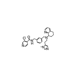 Cn1cncc1CCN(Cc1cccc(CNC(=O)c2ccncc2Cl)c1)C1CCCc2cccnc21